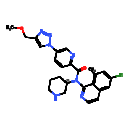 COCc1cn(-c2ccc(C(=O)N(c3nccc4cc(Cl)cc(C)c34)[C@@H]3CCCNC3)nc2)nn1